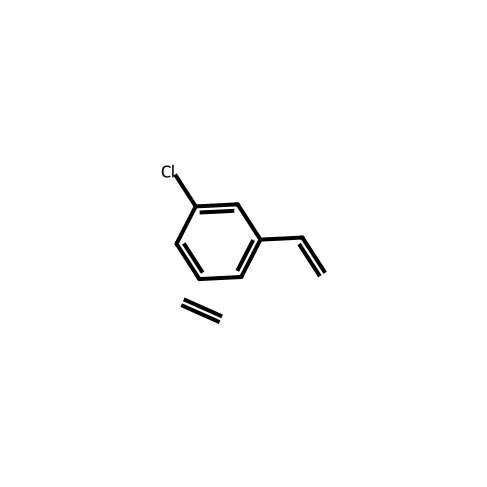 C=C.C=Cc1cccc(Cl)c1